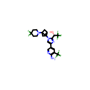 Nc1ncc(-c2cn(C3CC4(N5CCC(F)(F)CC5)CC3C4)c([C@H](O)C(F)(F)F)n2)cc1C(F)(F)F